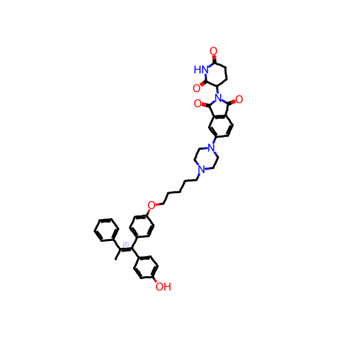 C/C(=C(\c1ccc(O)cc1)c1ccc(OCCCCCN2CCN(c3ccc4c(c3)C(=O)N(C3CCC(=O)NC3=O)C4=O)CC2)cc1)c1ccccc1